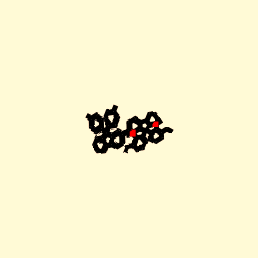 CCc1cccc(C2(c3cccc(CC)c3CC)c3ccccc3-c3ccc(-c4ccc5c(c4)C(c4ccc(C)cc4)(c4ccc(C)cc4)c4ccccc4-5)cc32)c1CC